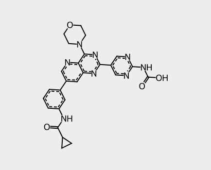 O=C(O)Nc1ncc(-c2nc(N3CCOCC3)c3ncc(-c4cccc(NC(=O)C5CC5)c4)cc3n2)cn1